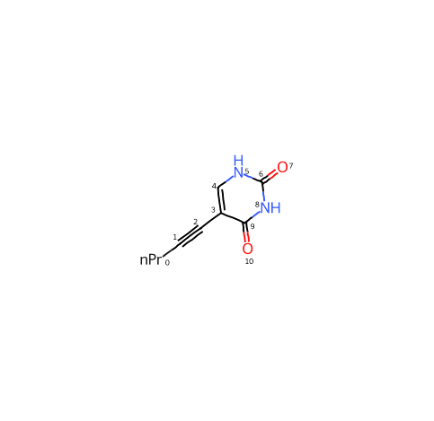 CCCC#Cc1c[nH]c(=O)[nH]c1=O